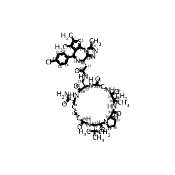 Cc1sc2c(c1C)C(c1ccc(Cl)cc1)=N[C@@H](CC(=O)NC[C@H]1NC(=O)CNC(=O)C(C)(C)NC(=O)[C@@H]3CCCN3C(=O)[C@H](C(C)(C)C)NC(=O)CSC[C@H](C(N)=O)NC1=O)c1nnc(C)n1-2